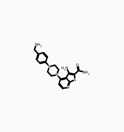 NCc1ccc(N2CCN(c3ccnc4sc(C(N)=O)c(N)c34)CC2)cc1